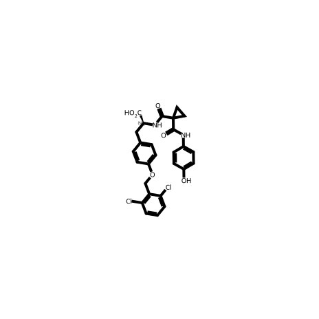 O=C(O)[C@H](Cc1ccc(OCc2c(Cl)cccc2Cl)cc1)NC(=O)C1(C(=O)Nc2ccc(O)cc2)CC1